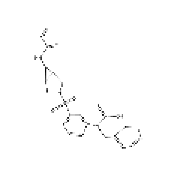 C=CC(=O)NC1C2CN(S(=O)(=O)c3cccc(N(Cc4ccccc4)C(=O)O)c3)CC21